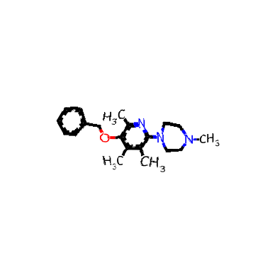 Cc1nc(N2CCN(C)CC2)c(C)c(C)c1OCc1ccccc1